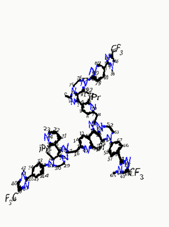 Cc1nc(-c2ccc(Cc3nc(-c4ccc(Cc5nc(-c6cccnc6C(C)C)c6n5CCN(c5ccc(-c7nc(C(F)(F)F)cn7C)cc5)C6C)nc4C(C)C)c4n3CCN(c3ccc(-c5nc(C(F)(F)F)cn5C)cc3)[C@@H]4C)nc2C(C)C)c2n1CCN(c1ccc(-c3nc(C(F)(F)F)cn3C)cn1)[C@H]2C